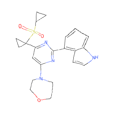 O=S(=O)(C1CC1)C1(c2cc(N3CCOCC3)nc(-c3cccc4[nH]ccc34)n2)CC1